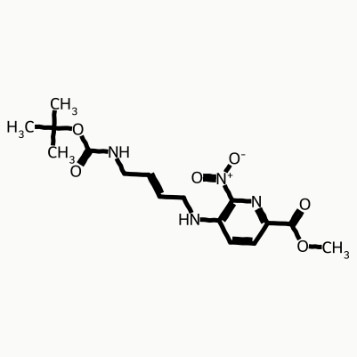 COC(=O)c1ccc(NC/C=C/CNC(=O)OC(C)(C)C)c([N+](=O)[O-])n1